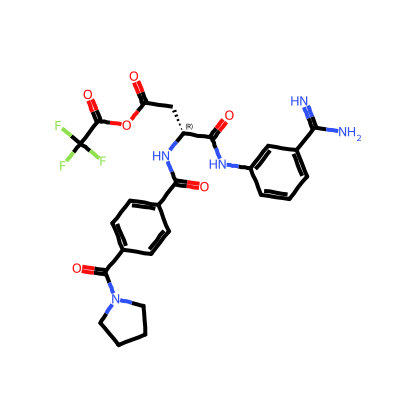 N=C(N)c1cccc(NC(=O)[C@@H](CC(=O)OC(=O)C(F)(F)F)NC(=O)c2ccc(C(=O)N3CCCC3)cc2)c1